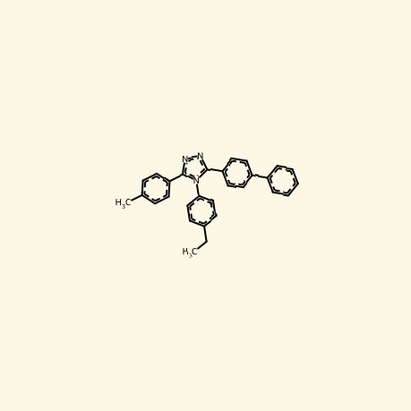 CCc1ccc(-n2c(-c3ccc(C)cc3)nnc2-c2ccc(-c3ccccc3)cc2)cc1